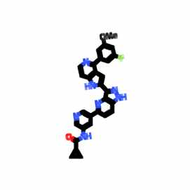 COc1cc(F)cc(-c2nccc3[nH]c(-c4n[nH]c5ccc(-c6cncc(NC(=O)C7CC7)c6)nc45)cc23)c1